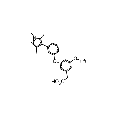 CCCOc1cc(CC(=O)O)cc(Oc2cccc(-c3c(C)nn(C)c3C)c2)c1